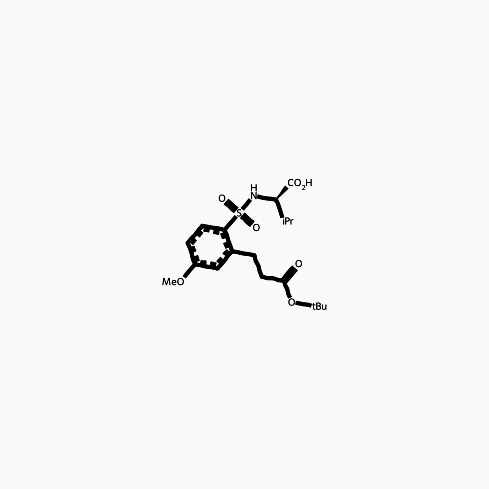 COc1ccc(S(=O)(=O)N[C@@H](C(=O)O)C(C)C)c(CCC(=O)OC(C)(C)C)c1